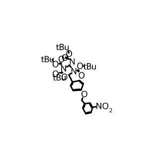 CC(C)(C)OC(=O)/N=C(/N(Cc1ccc(OCc2cccc([N+](=O)[O-])c2)cc1)C(=O)OC(C)(C)C)N(C(=O)OC(C)(C)C)C(=O)OC(C)(C)C